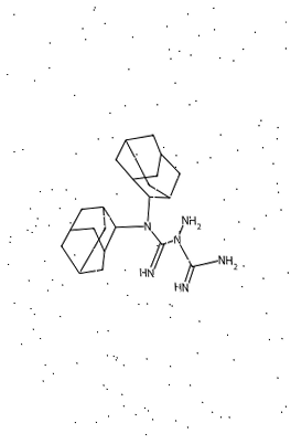 N=C(N)N(N)C(=N)N(C1C2CC3CC(C2)CC1C3)C1C2CC3CC(C2)CC1C3